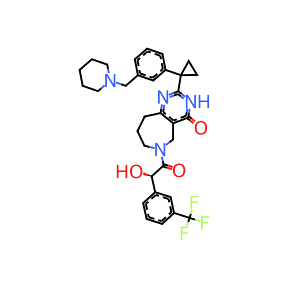 O=C([C@H](O)c1cccc(C(F)(F)F)c1)N1CCCc2nc(C3(c4cccc(CN5CCCCC5)c4)CC3)[nH]c(=O)c2C1